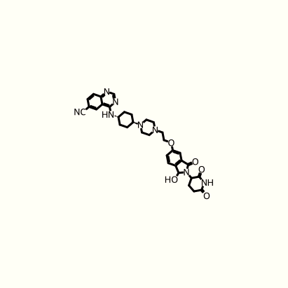 N#Cc1ccc2ncnc(N[C@H]3CC[C@H](N4CCN(CCOc5ccc6c(c5)C(=O)N(C5CCC(=O)NC5=O)C6O)CC4)CC3)c2c1